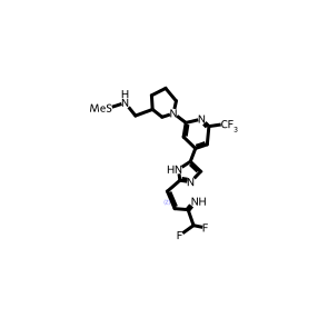 CSNCC1CCCN(c2cc(-c3cnc(/C=C\C(=N)C(F)F)[nH]3)cc(C(F)(F)F)n2)C1